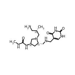 CNC(=O)N[C@@H]1C[C@@H](CNCc2c[nH]c(=O)[nH]c2=O)N(C[C@@H](C)CN)C1